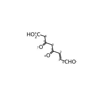 O=[C]/C=C/C(=O)CC(=O)CC(=O)O